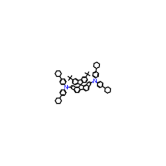 CC(C)(C)c1ccc2c(c1)-c1cc(C(C)(C)C)ccc1C21c2c(ccc3cc(N(c4ccc(C5CCCCC5)cc4)c4ccc(C5CCCCC5)cc4)ccc23)-c2ccc3cc(N(c4ccc(C5CCCCC5)cc4)c4ccc(C5CCCCC5)cc4)ccc3c21